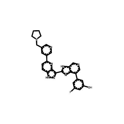 Oc1cc(F)cc(-c2cncc3[nH]c(-c4n[nH]c5ccc(-c6cncc(CN7CCCC7)c6)nc45)nc23)c1